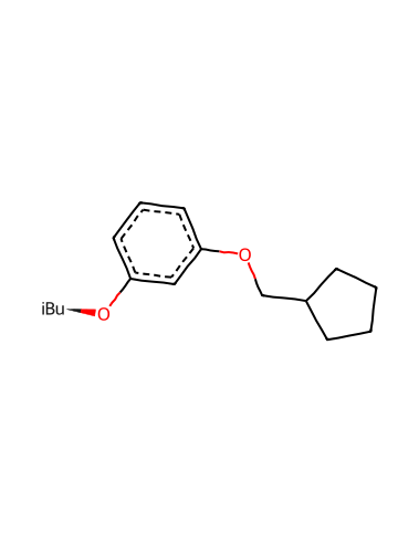 CC[C@H](C)Oc1cccc(OCC2CCCC2)c1